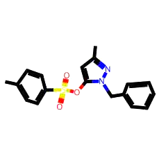 Cc1ccc(S(=O)(=O)Oc2cc(C)nn2Cc2ccccc2)cc1